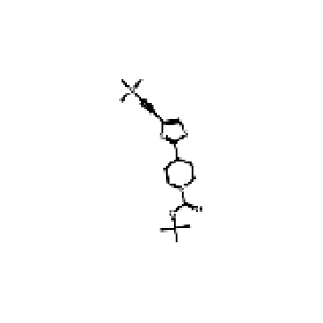 CC(C)(C)OC(=O)N1CCC(c2nc(C#C[Si](C)(C)C)cs2)CC1